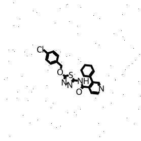 O=C(Nc1nnc(OCc2ccc(Cl)cc2)s1)c1ccncc1C1=CCCCC1